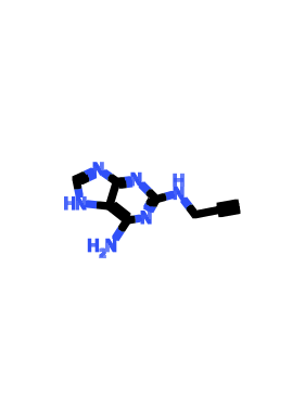 C#CCNc1nc(N)c2[nH]cnc2n1